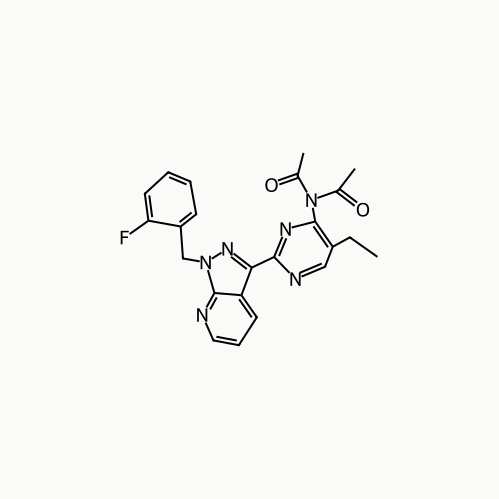 CCc1cnc(-c2nn(Cc3ccccc3F)c3ncccc23)nc1N(C(C)=O)C(C)=O